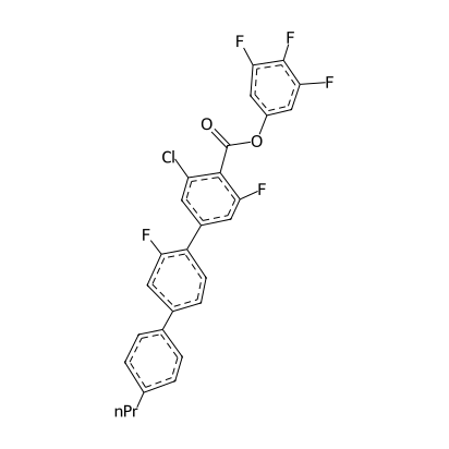 CCCc1ccc(-c2ccc(-c3cc(F)c(C(=O)Oc4cc(F)c(F)c(F)c4)c(Cl)c3)c(F)c2)cc1